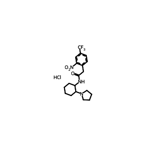 Cl.O=C(Cc1ccc(C(F)(F)F)cc1[N+](=O)[O-])NC1CCCCC1N1CCCC1